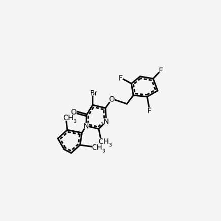 Cc1cccc(C)c1-n1c(C)nc(OCc2c(F)cc(F)cc2F)c(Br)c1=O